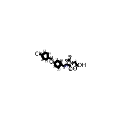 O=C(O)CN1C(=O)/C(=C/c2ccc(OCc3ccc(Cl)cc3)cc2)SC1=S